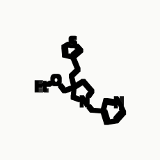 CCOCC1(CCc2ccsc2)CCN(Cc2cccnc2)C1